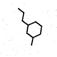 C[CH]CC1CCCC(C)C1